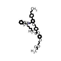 C=CC(=O)OCCCOc1ccc(OC(=O)C2CCC(COc3ccc(C4CCC(CCC)CC4)cc3/C=N/N(CCCCCC)c3nc4ccccc4s3)CC2)cc1